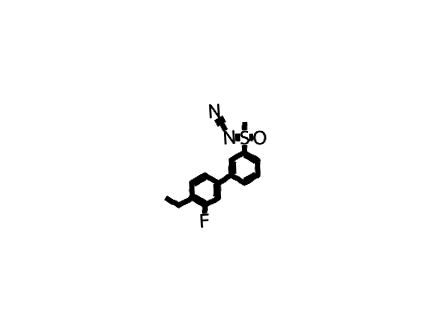 CCc1ccc(-c2cccc(S(C)(=O)=NC#N)c2)cc1F